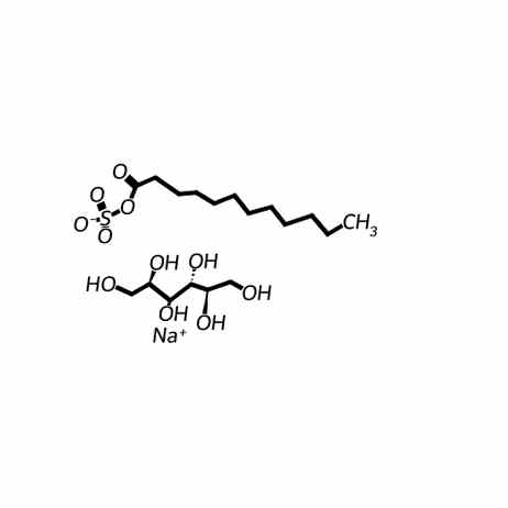 CCCCCCCCCCCC(=O)OS(=O)(=O)[O-].OC[C@@H](O)[C@@H](O)[C@H](O)[C@H](O)CO.[Na+]